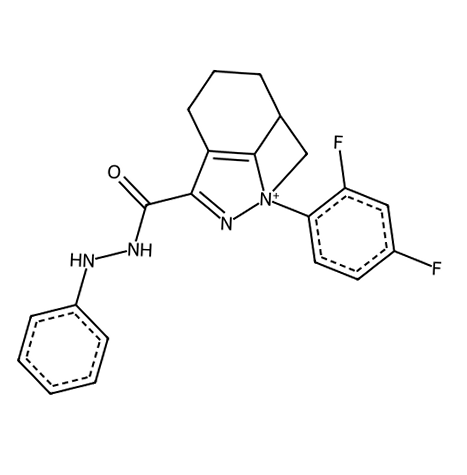 O=C(NNc1ccccc1)C1=N[N+]2(c3ccc(F)cc3F)CC3CCCC1=C32